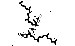 CC(C)CCCC(C)CCCC(C)CCCC(C)(OC(=O)OC(C)(CCCC(C)CCCC(C)CCCC(C)C)C1COC(=O)O1)C1COC(=O)O1